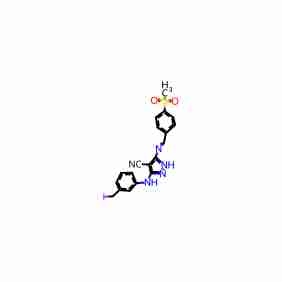 CS(=O)(=O)c1ccc(/C=N/c2[nH]nc(Nc3cccc(CI)c3)c2C#N)cc1